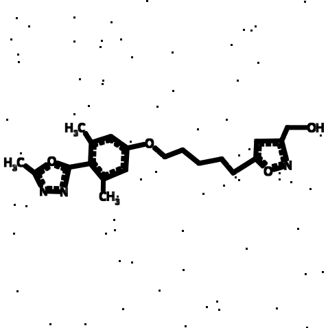 Cc1nnc(-c2c(C)cc(OCCCCCc3cc(CO)no3)cc2C)o1